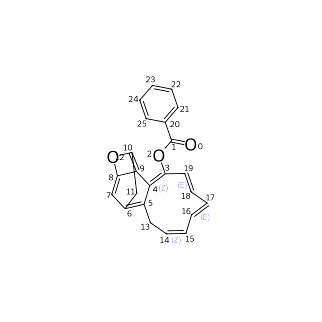 O=C(OC1=c2\c(c3cc4c2=C(C3)O4)C\C=C/C=C/C=C/1)c1ccccc1